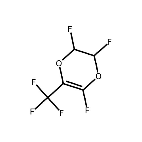 FC1=C(C(F)(F)F)OC(F)C(F)O1